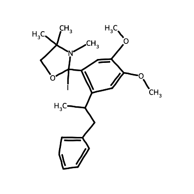 COc1cc(C(C)Cc2ccccc2)c(C2(I)OCC(C)(C)N2C)cc1OC